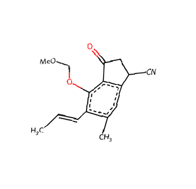 C/C=C/c1c(C)cc2c(c1OCOC)C(=O)CC2C#N